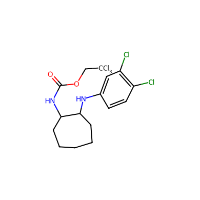 O=C(NC1CCCCCC1Nc1ccc(Cl)c(Cl)c1)OCC(Cl)(Cl)Cl